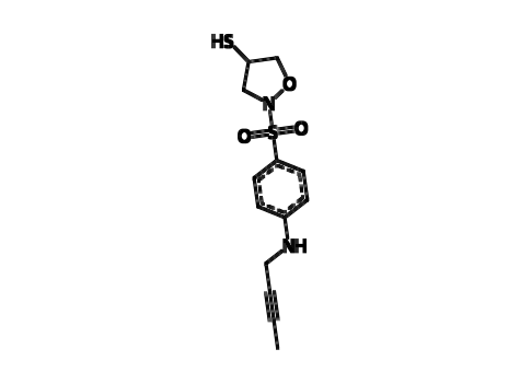 CC#CCNc1ccc(S(=O)(=O)N2CC(S)CO2)cc1